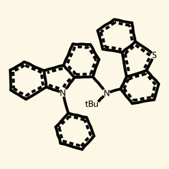 CC(C)(C)N(c1cccc2sc3ccccc3c12)c1cccc2c3ccccc3n(-c3ccccc3)c12